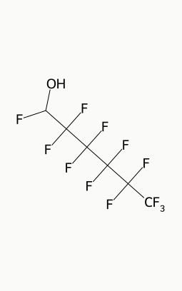 OC(F)C(F)(F)C(F)(F)C(F)(F)C(F)(F)C(F)(F)F